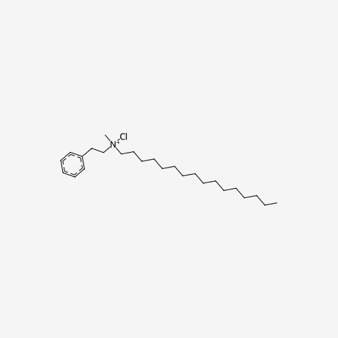 CCCCCCCCCCCCCCCC[N+](C)(Cl)CCc1ccccc1